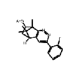 CC(=O)O[C@@H]1C[C@H]2c3cc(-c4ccccc4F)nnc3C1(C)C2(C)C